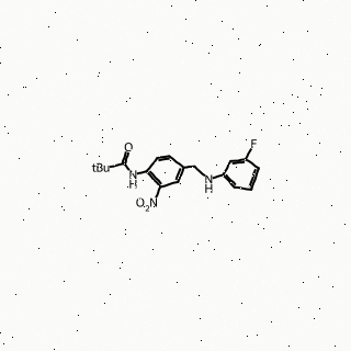 CC(C)(C)C(=O)Nc1ccc(CNc2cccc(F)c2)cc1[N+](=O)[O-]